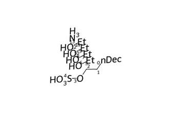 CCCCCCCCCCCCOS(=O)(=O)O.CCO.CCO.CCO.CCO.N